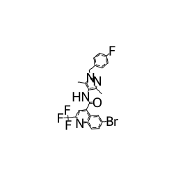 Cc1nn(Cc2ccc(F)cc2)c(C)c1NC(=O)c1cc(C(F)(F)F)nc2ccc(Br)cc12